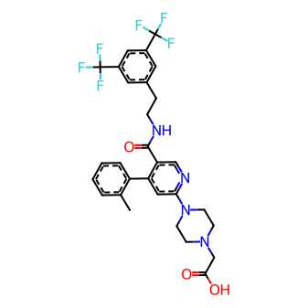 Cc1ccccc1-c1cc(N2CCN(CC(=O)O)CC2)ncc1C(=O)NCCc1cc(C(F)(F)F)cc(C(F)(F)F)c1